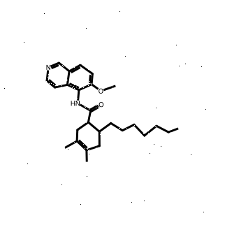 CCCCCCCC1CC(C)=C(C)CC1C(=O)Nc1c(OC)ccc2cnccc12